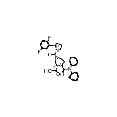 O=C(O)[C@@H]1CN(C(=O)N2CCC[C@@H]2c2cc(F)ccc2F)CCN1C(=O)N(c1ccccc1)c1ccccc1